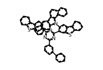 c1ccc(-c2cccc(-c3nc(-c4ccc5c(c4)sc4ccccc45)nc(-c4cc5sc6ccccc6c5cc4-n4c5cc6ccccc6cc5c5ccc6ccccc6c54)n3)c2)cc1